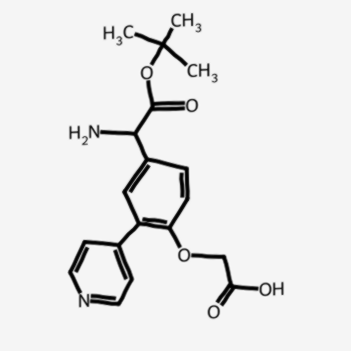 CC(C)(C)OC(=O)C(N)c1ccc(OCC(=O)O)c(-c2ccncc2)c1